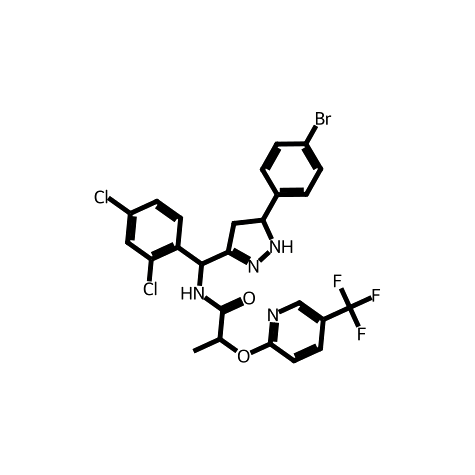 CC(Oc1ccc(C(F)(F)F)cn1)C(=O)NC(C1=NNC(c2ccc(Br)cc2)C1)c1ccc(Cl)cc1Cl